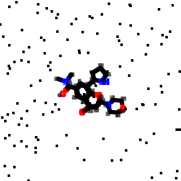 CN(C)C(=O)c1cc(C2CCCN2)c2oc(N3CCOCC3)cc(=O)c2c1